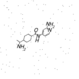 CC(N)C1CCC(C(=O)Nc2ccnc(N)c2)CC1